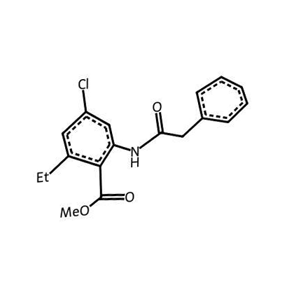 CCc1cc(Cl)cc(NC(=O)Cc2ccccc2)c1C(=O)OC